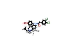 COC12CC[C@H](NC(=O)Cc3ccc(Cl)c(Cl)c3)C[C@]1(c1cccc(O)c1)CC[N@+](C)(CC1CC1)C2